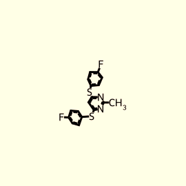 Cc1nc(Sc2ccc(F)cc2)cc(Sc2ccc(F)cc2)n1